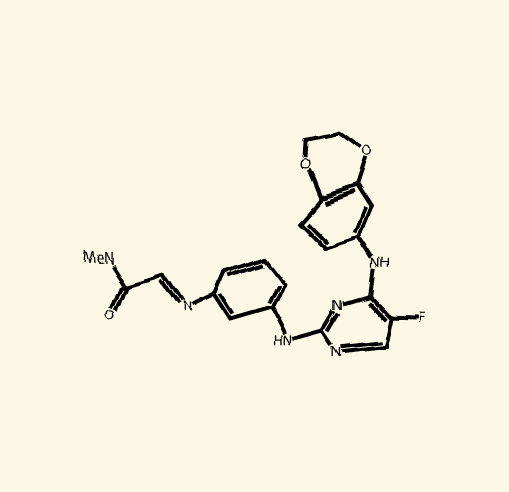 CNC(=O)C=Nc1cccc(Nc2ncc(F)c(Nc3ccc4c(c3)OCCO4)n2)c1